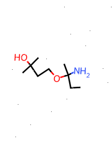 CCC(C)(N)OCCC(C)(C)O